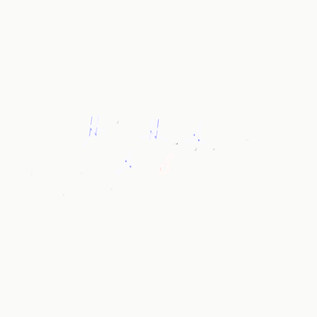 O=C(NC1=CNc2ccccc2C=N1)N1CCCCC1